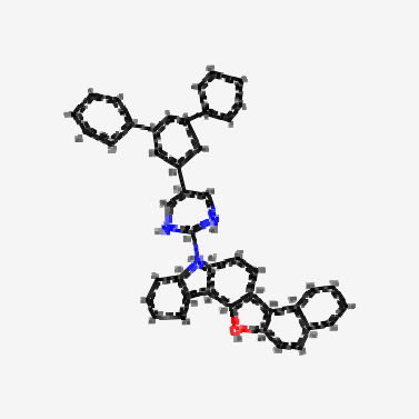 c1ccc(-c2cc(-c3ccccc3)cc(-c3cnc(-n4c5ccccc5c5c6oc7ccc8ccccc8c7c6ccc54)nc3)c2)cc1